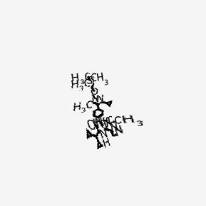 Cc1c(-c2ccc(NC(=O)C(NC(=O)c3ccnn3C(C)C)C(C3CC3)C3CC3)cc2)c(C2CC2)nn1COCC[Si](C)(C)C